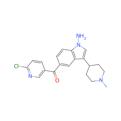 CN1CCC(c2cn(N)c3ccc(C(=O)c4ccc(Cl)nc4)cc23)CC1